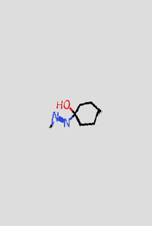 CN=NC1(O)CCCCC1